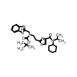 CC(C)N(C(=O)c1csc(CCN(Cc2nc3ccccc3[nH]2)C(=O)OC(C)(C)C)n1)C1CCCCC1